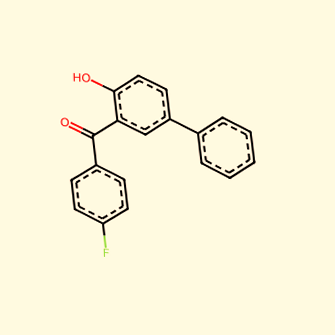 O=C(c1ccc(F)cc1)c1cc(-c2ccccc2)ccc1O